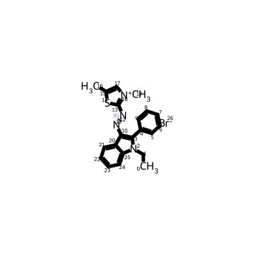 CCn1c(-c2ccccc2)c(/N=N/c2sc(C)c[n+]2C)c2ccccc21.[Br-]